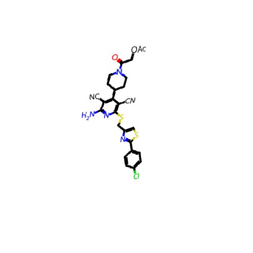 CC(=O)OCC(=O)N1CCC(c2c(C#N)c(N)nc(SCc3csc(-c4ccc(Cl)cc4)n3)c2C#N)CC1